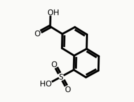 O=C(O)c1ccc2cccc(S(=O)(=O)O)c2c1